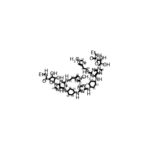 CCNC(=O)[C@H]1O[C@@H](n2cnc3c(N[C@H]4CC[C@H](Nc5ncnc(N[C@H]6CC[C@H](Nc7nc(NCCc8cn(C)cn8)nc8c7ncn8[C@@H]7O[C@H](C(=O)NCC)[C@@H](O)[C@H]7O)CC6)n5)CC4)nc(NCCc4cn(C)cn4)nc32)[C@H](O)[C@@H]1O